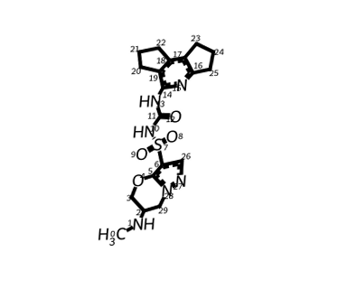 CNC1COc2c(S(=O)(=O)NC(=O)Nc3nc4c(c5c3CCC5)CCC4)cnn2C1